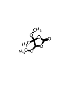 COC1OC(=O)OC1(C)OC